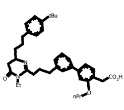 CCCOc1cc(-c2cccc(CCCC3=NC(CCCc4ccc(C(C)(C)C)cc4)CC(=O)N3CC)c2)ccc1CC(=O)O